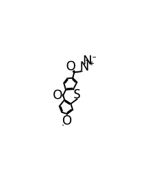 COc1ccc2c(c1)CSc1cc(C(=O)C=[N+]=[N-])ccc1C2=O